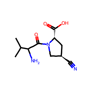 CC(C)C(N)C(=O)N1C[C@H](C#N)C[C@H]1C(=O)O